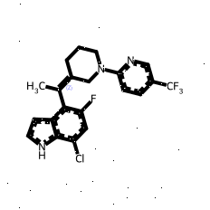 C/C(=C1\CCCN(c2ccc(C(F)(F)F)cn2)C1)c1c(F)cc(Cl)c2[nH]ccc12